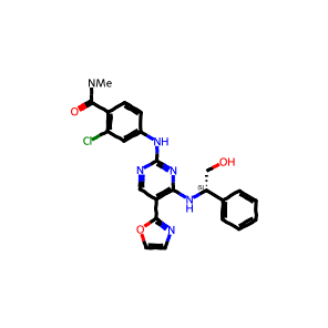 CNC(=O)c1ccc(Nc2ncc(-c3ncco3)c(N[C@H](CO)c3ccccc3)n2)cc1Cl